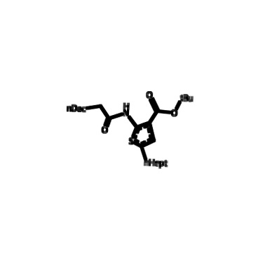 CCCCCCCCCCCC(=O)Nc1sc(CCCCCCC)cc1C(=O)OC(C)(C)C